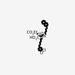 CCOC(=O)COC(C(=O)O)C(OCCCCCc1ccc(Cl)c(Cl)c1)C(=O)N(C)CCCCCc1ccc2ccccc2c1